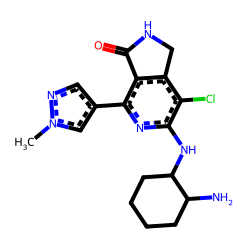 Cn1cc(-c2nc(NC3CCCCC3N)c(Cl)c3c2C(=O)NC3)cn1